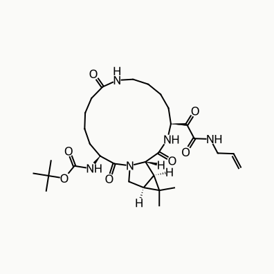 C=CCNC(=O)C(=O)[C@@H]1CCCCNC(=O)CCCC[C@H](NC(=O)OC(C)(C)C)C(=O)N2C[C@H]3[C@@H]([C@H]2C(=O)N1)C3(C)C